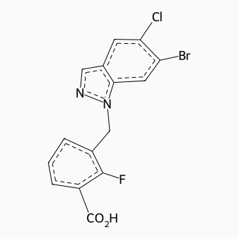 O=C(O)c1cccc(Cn2ncc3cc(Cl)c(Br)cc32)c1F